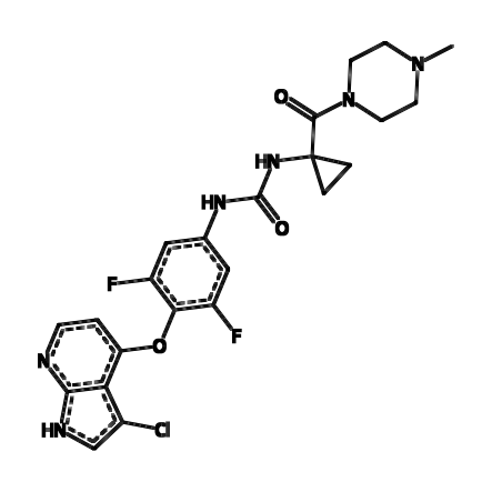 CN1CCN(C(=O)C2(NC(=O)Nc3cc(F)c(Oc4ccnc5[nH]cc(Cl)c45)c(F)c3)CC2)CC1